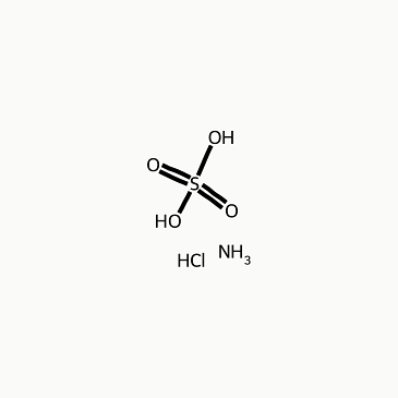 Cl.N.O=S(=O)(O)O